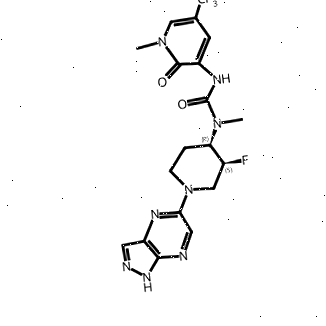 CN(C(=O)Nc1cc(C(F)(F)F)cn(C)c1=O)[C@@H]1CCN(c2cnc3[nH]ncc3n2)C[C@@H]1F